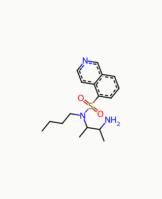 CCCCN(C(C)C(C)N)S(=O)(=O)c1cccc2cnccc12